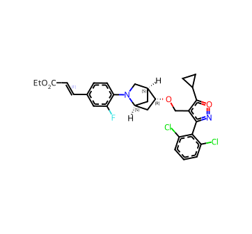 CCOC(=O)/C=C/c1ccc(N2C[C@@H]3C[C@H]2C[C@H]3OCc2c(-c3c(Cl)cccc3Cl)noc2C2CC2)c(F)c1